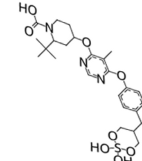 Cc1c(Oc2ccc(CC3COS(O)(O)OC3)cc2)ncnc1OC1CCN(C(=O)O)C(C(C)(C)C)C1